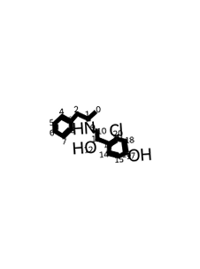 CC(Cc1ccccc1)NC[C@H](O)c1ccc(O)cc1Cl